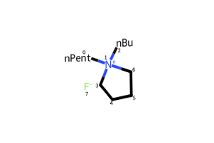 CCCCC[N+]1(CCCC)CCCC1.[F-]